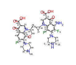 C[C@@H]1CN(c2c(F)c(N)c3c(=O)c(C(=O)O)cn(C4CC4)c3c2F)C[C@H](C)N1.C[C@H]1COc2c(N3CCN(C)CC3)c(F)cc3c(=O)c(C(=O)O)cn1c23